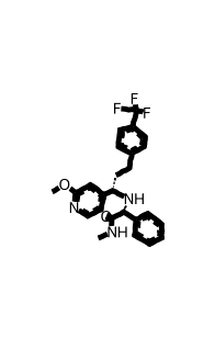 CNC(=O)[C@H](N[C@@H](CCc1ccc(C(F)(F)F)cc1)c1ccnc(OC)c1)c1ccccc1